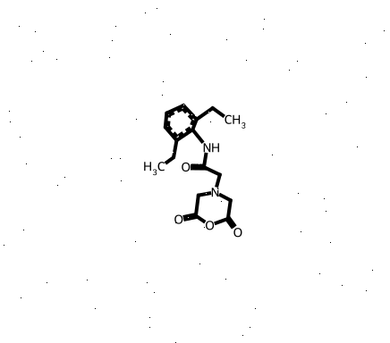 CCc1cccc(CC)c1NC(=O)CN1CC(=O)OC(=O)C1